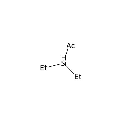 CC[SiH](CC)C(C)=O